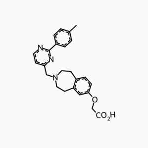 Cc1ccc(-c2nccc(CN3CCc4ccc(OCC(=O)O)cc4CC3)n2)cc1